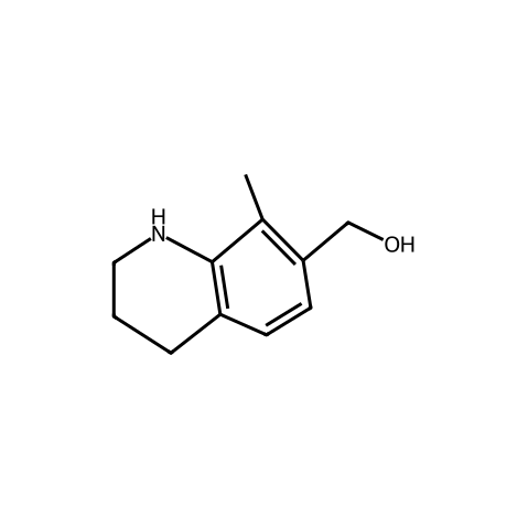 Cc1c(CO)ccc2c1NCCC2